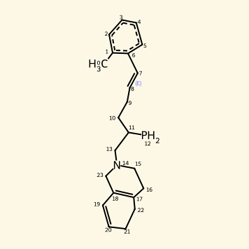 Cc1ccccc1/C=C/CCC(P)CN1CCC2=C(C=CCC2)C1